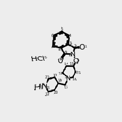 Cl.O=C1c2ccccc2C(=O)N1OC1CCN(CC2CCNCC2)CC1